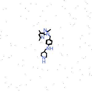 Cc1cc(C)c2nc(C)n(Cc3ccc(NCC4CCNCC4)cc3)c2n1